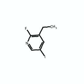 CCc1cc(I)cnc1F